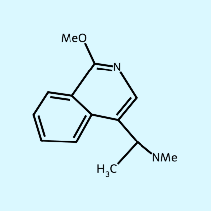 CNC(C)c1cnc(OC)c2ccccc12